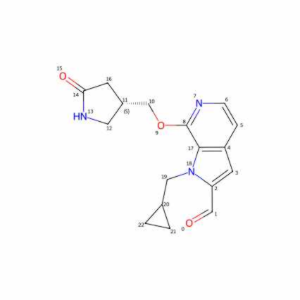 O=Cc1cc2ccnc(OC[C@@H]3CNC(=O)C3)c2n1CC1CC1